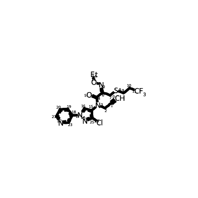 C#CCN(C(=O)/C(CSCCC(F)(F)F)=N\OCC)c1cn(-c2cccnc2)nc1Cl